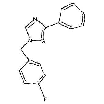 Fc1ccc(Cn2cnc(-c3ccccc3)n2)cc1